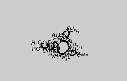 CON=C1C[C@@H](C)O[C@@H](O[C@@H]2[C@@H](C)[C@H](O[C@H]3C[C@@H](C)N(C)C[C@H](C)O3)[C@@H](C)C(=O)OC([C@@H](C)CO[C@@H]3O[C@H](C)[C@@H](O)[C@@H](OC)[C@H]3OC)[C@H](C)[C@@H](OC(=O)CC(C)C)[C@@H](C)C(=O)[C@@](C)(OC(C)=O)C[C@@H]2C)[C@@H]1O